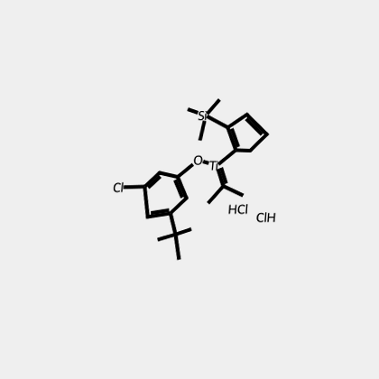 C[C](C)=[Ti]([O]c1cc(Cl)cc(C(C)(C)C)c1)[C]1=C([Si](C)(C)C)C=CC1.Cl.Cl